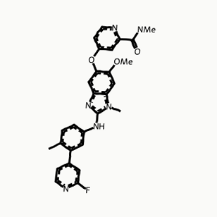 CNC(=O)c1cc(Oc2cc3nc(Nc4ccc(C)c(-c5ccnc(F)c5)c4)n(C)c3cc2OC)ccn1